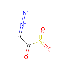 [N-]=[N+]=CC(=O)[SH](=O)=O